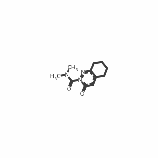 CN(C)C(=O)n1nc2c(cc1=O)CCCC2